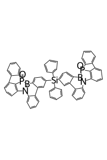 O=P12B3c4ccc([Si](c5ccccc5)(c5ccccc5)c5ccc6c(c5)-c5ccccc5N5B6P6(=O)c7ccccc7-c7cccc5c76)cc4-c4ccccc4N3c3cccc(c31)-c1ccccc12